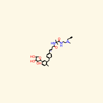 C#CCN(C)CCNC(=O)C(C)(C)NC(=O)C/C=C/c1ccc(Cc2cc([C@@H]3OC[C@@H](O)[C@H](O)[C@H]3O)ccc2C)cc1